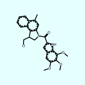 COc1cc2cc(C(=O)N3CC(CCl)c4c3cc(C)c3ccccc43)[nH]c2c(OC)c1OC